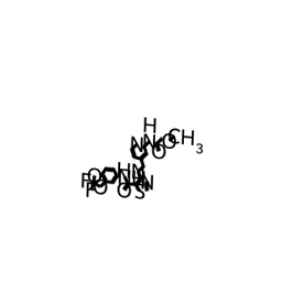 COCC(=O)Nc1cc(CNc2ncsc2C(=O)Nc2ccc3c(c2)OC(F)(F)O3)ccn1